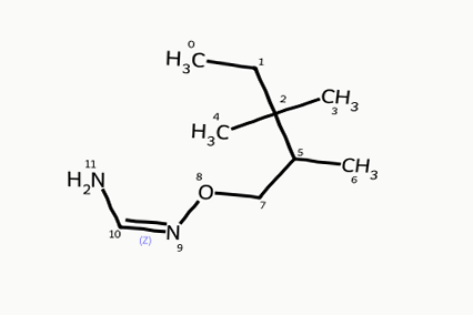 CCC(C)(C)C(C)CO/N=C\N